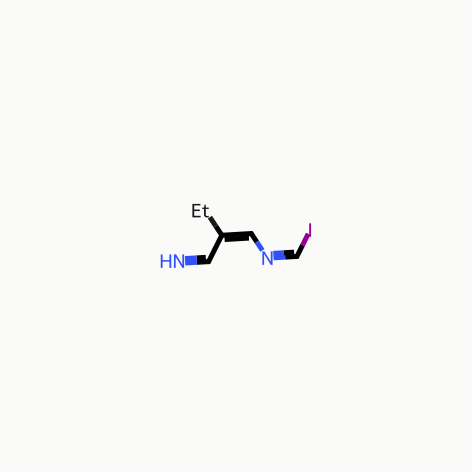 CC/C(C=N)=C/N=C\I